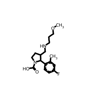 COCCCNCC1CCN(C(=O)O)C1c1ccc(F)cc1C